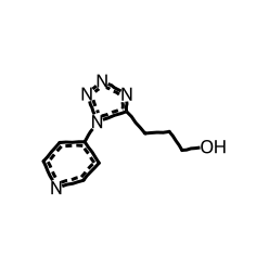 OCCCc1nnnn1-c1ccncc1